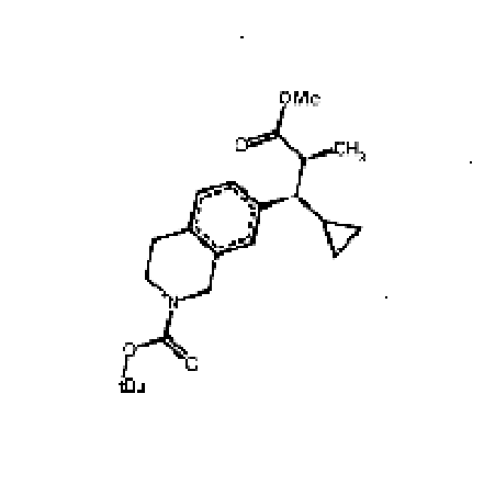 COC(=O)[C@@H](C)[C@H](c1ccc2c(c1)CN(C(=O)OC(C)(C)C)CC2)C1CC1